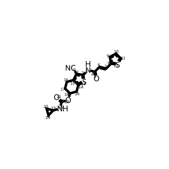 N#Cc1c(NC(=O)C=Cc2cccs2)sc2c1CCC(OC(=O)NC1CC1)C2